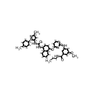 CCCNC(=O)c1cc(Nc2nccc(Oc3ccc(NC(=O)Nc4cc(C)nn4-c4ccc(C)cc4)c4ccccc34)n2)cc(OC)c1